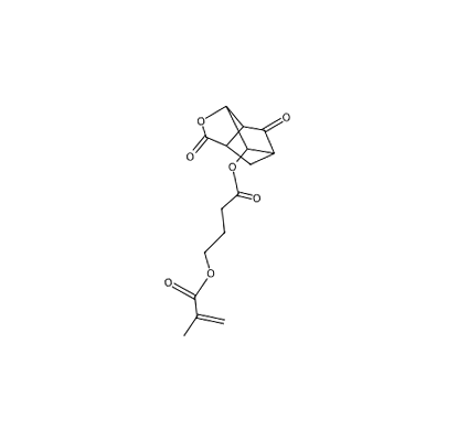 C=C(C)C(=O)OCCCC(=O)OC1C2CC3C(=O)OC1C3C2=O